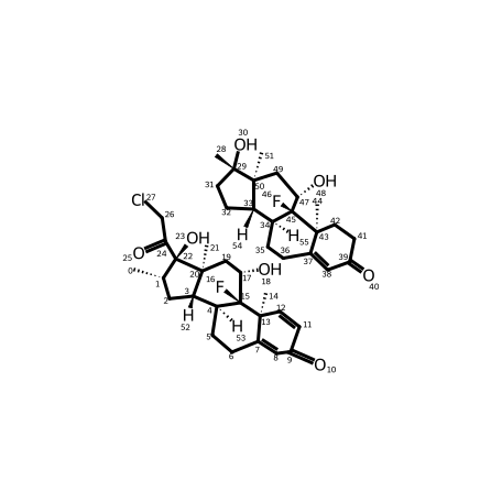 C[C@H]1C[C@H]2[C@@H]3CCC4=CC(=O)C=C[C@]4(C)[C@@]3(F)[C@@H](O)C[C@]2(C)[C@@]1(O)C(=O)CCl.C[C@]1(O)CC[C@H]2[C@@H]3CCC4=CC(=O)CC[C@]4(C)[C@@]3(F)[C@@H](O)C[C@@]21C